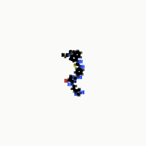 CN(C)c1ccc(NC(=S)Nc2ccc(Nc3ncc(Br)c(NCCc4c[nH]cn4)n3)cc2)c2ccccc12